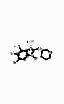 CC(C)n1c(N[C@H]2CCCNC2)nc2c([N+](=O)[O-])c(Br)c(Br)cc21.Cl